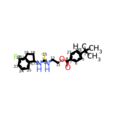 CC(C)(C)c1ccc(C(=O)OCCNC(=S)NC2CCc3c(F)cccc32)cc1